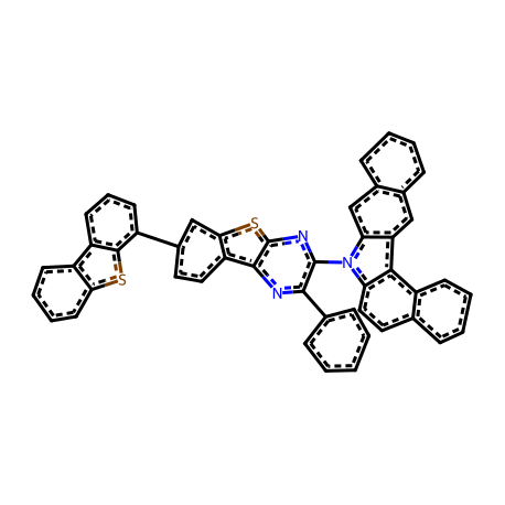 c1ccc(-c2nc3c(nc2-n2c4cc5ccccc5cc4c4c5ccccc5ccc42)sc2cc(-c4cccc5c4sc4ccccc45)ccc23)cc1